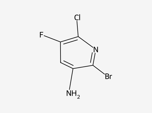 Nc1cc(F)c(Cl)nc1Br